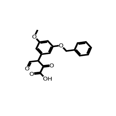 COc1cc(OCc2ccccc2)cc(C(C=O)C(=O)C(=O)O)c1